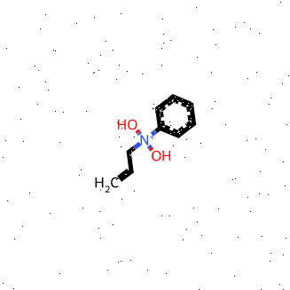 C=CC[N+](O)(O)c1[c]cccc1